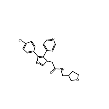 O=C(Cn1cnc(-c2ccc(Cl)cc2)c1-c1ccncc1)NCC1CCOC1